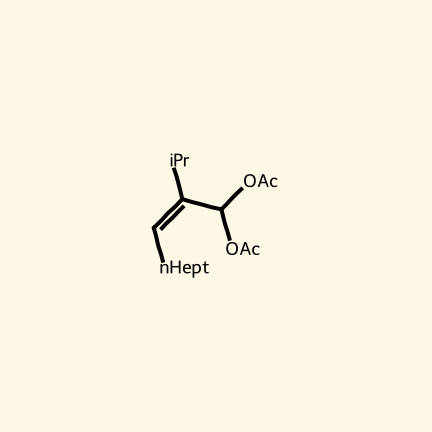 CCCCCCCC=C(C(C)C)C(OC(C)=O)OC(C)=O